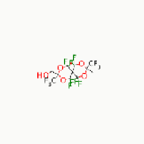 CC1(C(F)(F)F)OC(F)(F)C2(C(F)(F)O1)C(F)(F)OC(CO)(C(F)(F)F)OC2(F)F